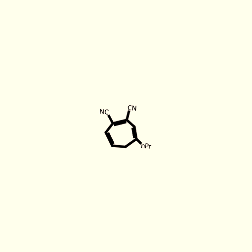 CCCC1=CC(C#N)=C(C#N)C=CC1